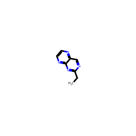 C[CH]c1ncc2nccnc2n1